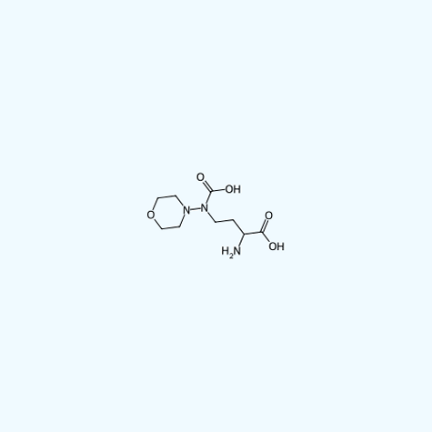 NC(CCN(C(=O)O)N1CCOCC1)C(=O)O